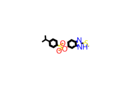 CSc1nc2ccc(OS(=O)(=O)c3ccc(C(C)C)cc3)cc2[nH]1